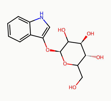 OCC1O[C@@H](Oc2c[nH]c3ccccc23)C(O)[C@@H](O)[C@@H]1O